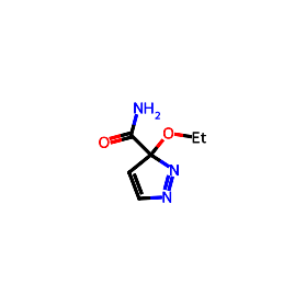 CCOC1(C(N)=O)C=CN=N1